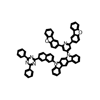 c1ccc(-c2nc(-c3ccccc3)nc(-c3ccc4ccc(-n5c6ccccc6c6cc7c8ccccc8n(-c8cc(-c9ccc%10oc%11ccccc%11c%10c9)nc(-c9ccc%10oc%11ccccc%11c%10c9)c8)c7cc65)cc4c3)n2)cc1